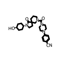 N#Cc1ccc(N2CCN(C(=O)N3CCCC4(CCN([C@H]5CC[C@H](O)CC5)C4=O)C3)CC2)cc1